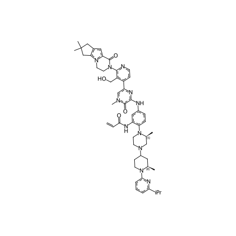 C=CC(=O)Nc1cc(Nc2nc(-c3ccnc(N4CCn5c(cc6c5CC(C)(C)C6)C4=O)c3CO)cn(C)c2=O)ccc1N1CCN(C2CCN(c3cccc(C(C)C)n3)[C@H](C)C2)C[C@@H]1C